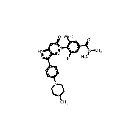 COc1cc(C(=O)N(C)C)cc(F)c1-n1nc2c(-c3ccc(N4CCN(C)CC4)cc3)n[nH]c2cc1=O